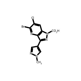 Cn1cc(-c2nn(C(=O)O)c3cc(Cl)c(Br)nc23)cn1